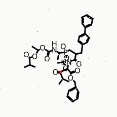 CC(OC(=O)NC(C)P(=O)(CC(Cc1ccc(-c2ccccc2)cc1)C(=O)NC(C)C(=O)OCc1ccccc1)OC(C)OC(=O)C(C)C)OC(=O)C(C)C